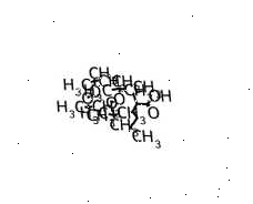 CC(C)(C)OOC(C)(C)C.CC(C)(C)OOC(C)(C)C.CCCCC(CC)C(=O)O